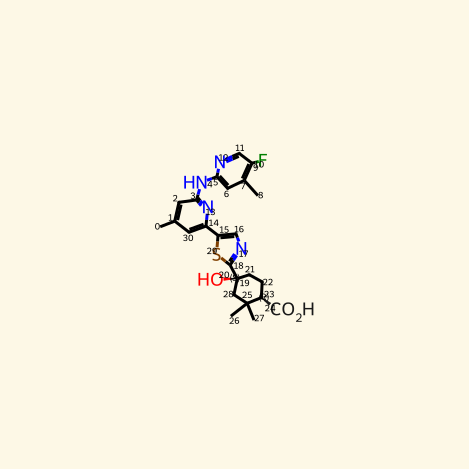 Cc1cc(Nc2cc(C)c(F)cn2)nc(-c2cnc([C@]3(O)CC[C@@H](C(=O)O)C(C)(C)C3)s2)c1